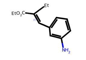 CCOC(=O)/C(=C/c1cccc(N)c1)CC